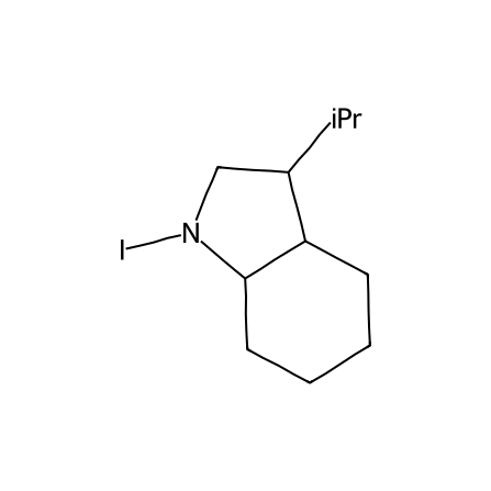 CC(C)C1CN(I)C2CCCCC12